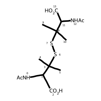 CC(=O)NC(C(=O)O)C(C)(C)SSC(C)(C)C(NC(C)=O)C(=O)O